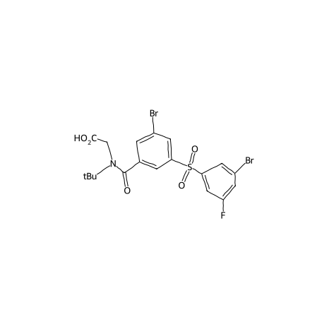 CC(C)(C)N(CC(=O)O)C(=O)c1cc(Br)cc(S(=O)(=O)c2cc(F)cc(Br)c2)c1